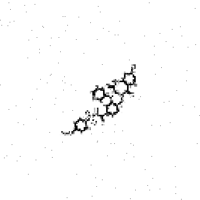 COc1ccc(S(=O)(=O)NC(=O)c2ccc(CN3C(=O)c4ccc(Cl)cc4NC(=O)[C@H]3Cc3cccnc3)cc2)cc1